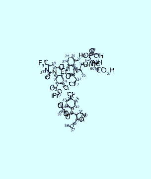 CC(C)OC(=O)c1cc(-n2c(=O)cc(C(F)(F)F)n(C)c2=O)ccc1Cl.CCc1cccc(C)c1N(C(=O)CCl)C(C)COC.CS(=O)(=O)c1cc(C(F)(F)F)ccc1C(=O)c1cnoc1C1CC1.O=C(O)CNCP(=O)(O)O